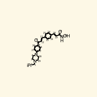 CC(C)CN1CCN(c2ccc(C(=O)C=Cc3ccc(C=CC(=O)NO)cc3)cc2)CC1